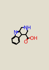 O=C(O)C1CNCC2=Nc3ccccc3C21